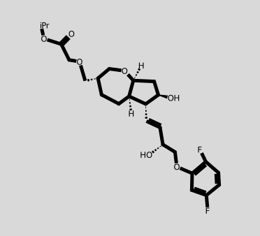 CC(C)OC(=O)COC[C@H]1CC[C@@H]2[C@@H](/C=C/[C@@H](O)COc3cc(F)ccc3F)[C@H](O)C[C@@H]2OC1